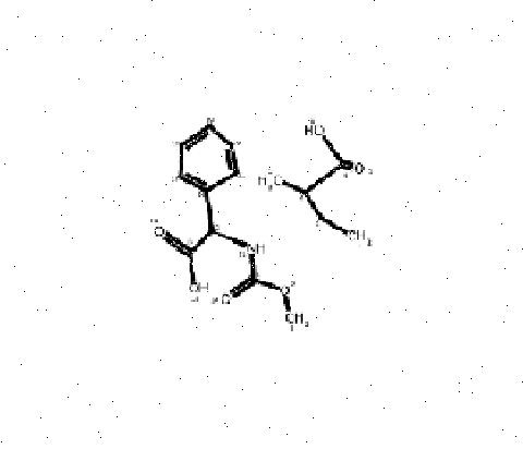 CCC(C)C(=O)O.COC(=O)N[C@@H](C(=O)O)c1ccccc1